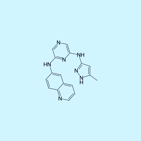 Cc1cc(Nc2cncc(Nc3ccc4ncccc4c3)n2)n[nH]1